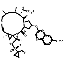 COc1ccc2ncc(O[C@@H]3C[C@H]4C(=O)N[C@]5(C(=O)NS(=O)(=O)C6(CF)CC6)C[C@H]5/C=C\CC[C@@H](C)C[C@@H](C)[C@H](NC(=O)O)C(=O)N4C3)nc2c1